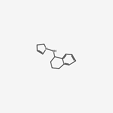 C1=CN(NC2CCCc3ccccc32)CC1